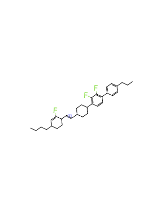 CCCCC1C=C(F)C(/C=C/C2CCC(c3ccc(-c4ccc(CCC)cc4)c(F)c3F)CC2)CC1